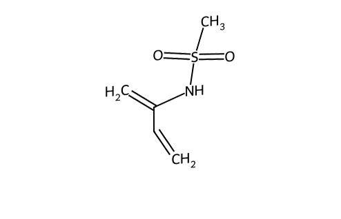 C=CC(=C)NS(C)(=O)=O